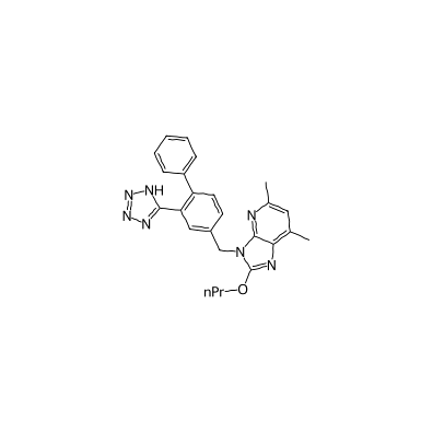 CCCOc1nc2c(C)cc(C)nc2n1Cc1ccc(-c2ccccc2)c(-c2nnn[nH]2)c1